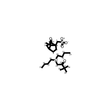 CC1(C)C2CCC1(CS(=O)(=O)[O-])C(=O)C2.CCCC[S+](CCCC)CC(=O)C(C)(C)C